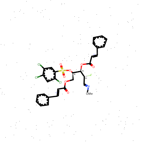 CON=C[C@@H](F)[C@H](OC(=O)/C=C/c1ccccc1)[C@@H](COC(=O)/C=C/c1ccccc1)OS(=O)(=O)c1cc(Cl)c(Cl)cc1Cl